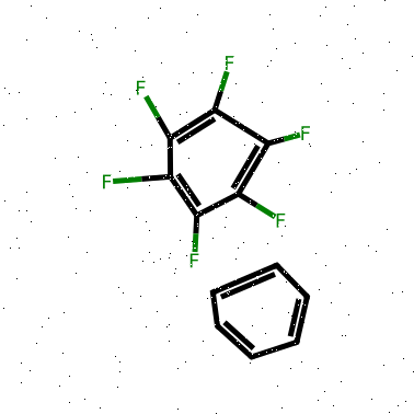 Fc1c(F)c(F)c(F)c(F)c1F.c1ccccc1